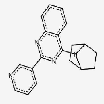 c1cncc(-c2nc(N3C4CCC3CC4)c3ccccc3n2)c1